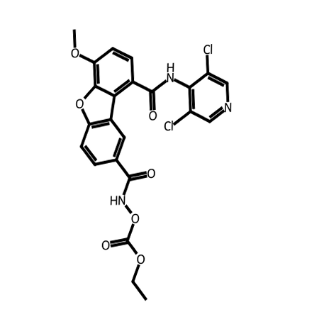 CCOC(=O)ONC(=O)c1ccc2oc3c(OC)ccc(C(=O)Nc4c(Cl)cncc4Cl)c3c2c1